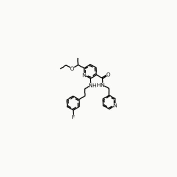 CCOC(C)c1ccc(C(=O)NCc2cccnc2)c(NCCc2cccc(F)c2)n1